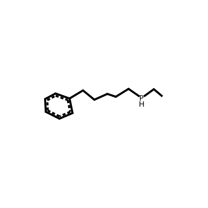 CCPCCCCCc1ccccc1